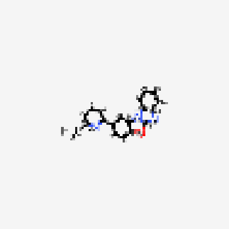 Cc1cccc(-c2ccc3oc4nc5ccccc5n4c3c2)n1